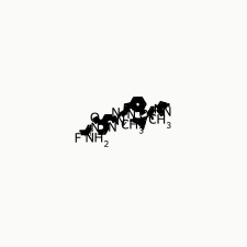 C[C@H](Cn1ccnc1)Oc1cccc2cc(-c3nc4cc5c(nc4n3C)CCN(C[C@H](N)CF)C5=O)n(CC3CC3)c12